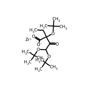 CCC(OC(C)(C)C)(C(=O)[O-])C(=O)C(OC(C)(C)C)OC(C)(C)C.[Zr+]